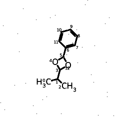 CC(C)C1OC(c2ccccc2)O1